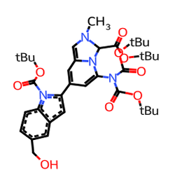 CN1C=C2C=C(c3cc4cc(CO)ccc4n3C(=O)OC(C)(C)C)C=C(N(C(=O)OC(C)(C)C)C(=O)OC(C)(C)C)N2C1C(=O)OC(C)(C)C